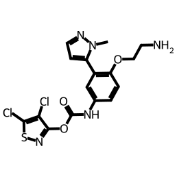 Cn1nccc1-c1cc(NC(=O)Oc2nsc(Cl)c2Cl)ccc1OCCN